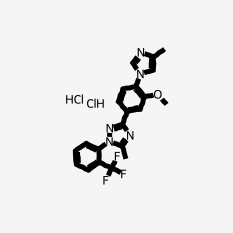 COc1cc(-c2nc(C)n(-c3ccccc3C(F)(F)F)n2)ccc1-n1cnc(C)c1.Cl.Cl